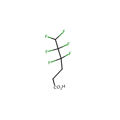 O=C(O)CCC(F)(F)C(F)(F)C(F)F